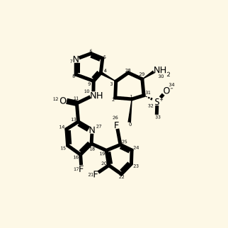 C[C@H]1C[C@@H](c2ccncc2NC(=O)c2ccc(F)c(-c3c(F)cccc3F)n2)C[C@@H](N)[C@@H]1[S+](C)[O-]